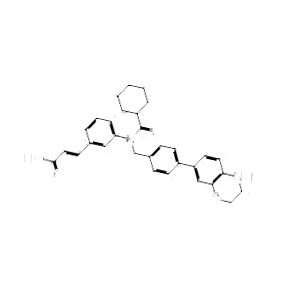 O=C(O)/C=C/c1cccc(N(Cc2ccc(-c3ccc4c(c3)OCCN4)cc2)C(=O)C2CCCCC2)c1